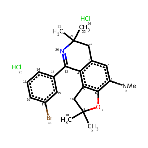 CNc1cc2c(c3c1OC(C)(C)C3)C(c1cccc(Br)c1)=NC(C)(C)C2.Cl.Cl